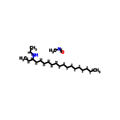 CCCCCCCCCCCCCCCCC(CC)NCC.CN=O